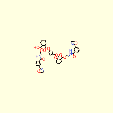 O=CC1(OCC2CCC(OC(=O)C3CCCCC3C(O)OCCNC(=O)c3cccc(C4=NCCO4)c3)C2)CCCCC1C(=O)OCCNC(=O)c1cccc(C2=NCCO2)c1